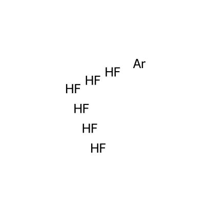 F.F.F.F.F.F.[Ar]